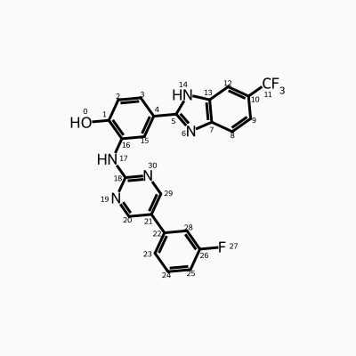 Oc1ccc(-c2nc3ccc(C(F)(F)F)cc3[nH]2)cc1Nc1ncc(-c2cccc(F)c2)cn1